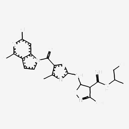 Cc1nc(NC2SN=C(O)C2C(=N)NC(C)CO)sc1C(=O)n1ccc2c(Cl)nc(Cl)cc21